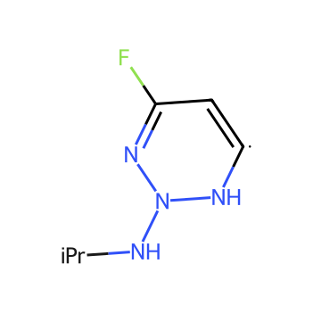 CC(C)NN1N=C(F)C=[C]N1